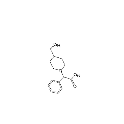 O=C(O)C(c1ccccc1)N1CCC(CO)CC1